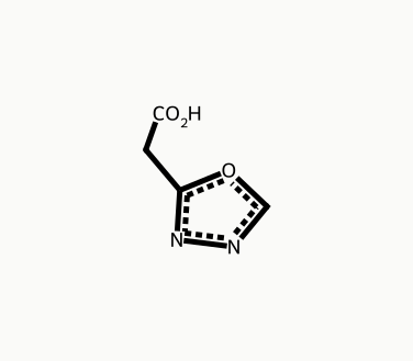 O=C(O)Cc1nnco1